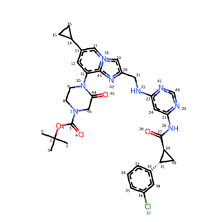 CC(C)(C)OC(=O)N1CCN(c2cc(C3CC3)cn3cc(CNc4cc(NC(=O)[C@H]5C[C@@H]5c5cccc(Cl)c5)ncn4)nc23)C(=O)C1